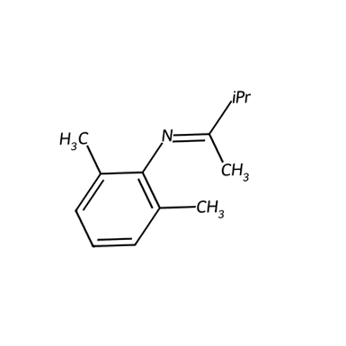 CC(=Nc1c(C)cccc1C)C(C)C